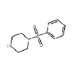 O=S(=O)(c1ccccc1)C1CCNCC1